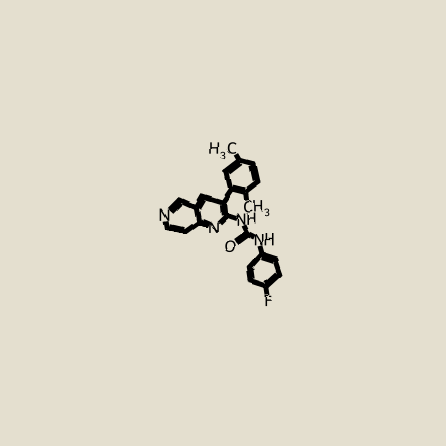 Cc1ccc(C)c(-c2cc3cnccc3nc2NC(=O)Nc2ccc(F)cc2)c1